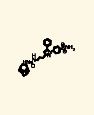 NS(=O)(=O)C1=CCC(n2nc(CCCNC(=O)NC34CC5CC6CC(C3)C6(C5)C4)cc2-c2ccccc2)C=C1